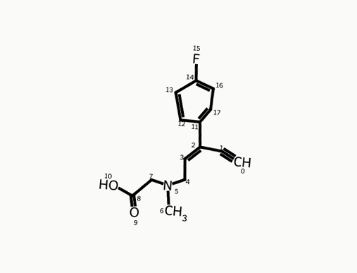 C#CC(=CCN(C)CC(=O)O)c1ccc(F)cc1